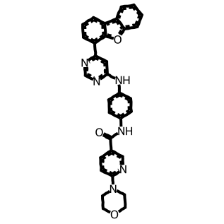 O=C(Nc1ccc(Nc2cc(-c3cccc4c3oc3ccccc34)ncn2)cc1)c1ccc(N2CCOCC2)nc1